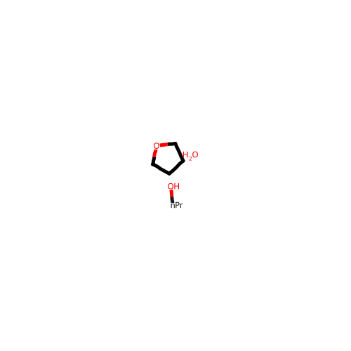 C1CCOC1.CCCO.O